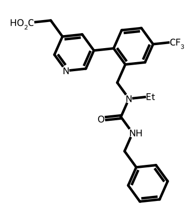 CCN(Cc1cc(C(F)(F)F)ccc1-c1cncc(CC(=O)O)c1)C(=O)NCc1ccccc1